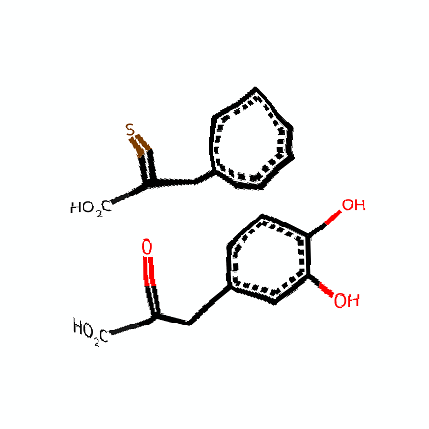 O=C(O)C(=O)Cc1ccc(O)c(O)c1.O=C(O)C(=S)Cc1ccccc1